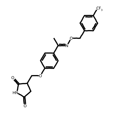 C/C(=N\OCc1ccc(C(F)(F)F)cc1)c1ccc(OCC2CC(=O)NC2=O)cc1